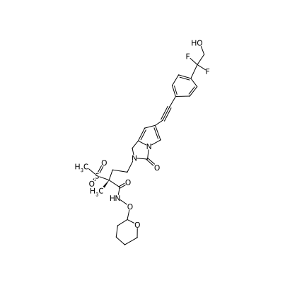 C[C@@](CCN1Cc2cc(C#Cc3ccc(C(F)(F)CO)cc3)cn2C1=O)(C(=O)NOC1CCCCO1)S(C)(=O)=O